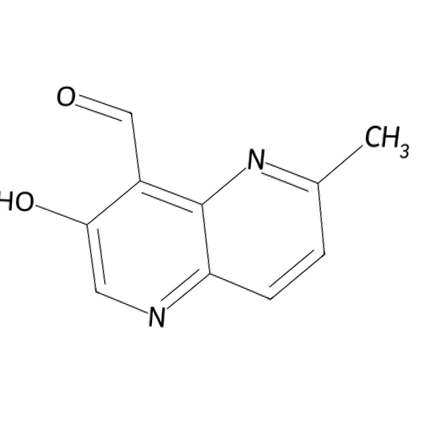 Cc1ccc2ncc(O)c(C=O)c2n1